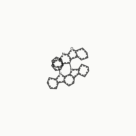 c1ccc(-n2c3ccccc3c3ccc4c5ccccc5n(-c5c6ccccc6nc6oc7ccccc7c56)c4c32)cc1